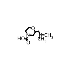 CN(C)CC1CN(C(=O)O)CCO1